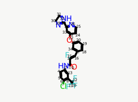 O=C(Nc1ccc(Cl)c(C(F)(F)F)c1)/C(F)=C/c1cccc(Oc2ccnc(C3=NCCN3)c2)c1